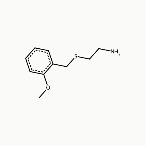 COc1ccccc1CSCCN